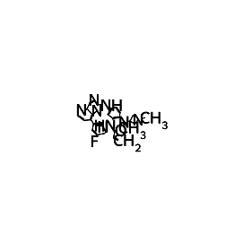 C=CC(=O)Nc1cc(Nc2ncc3nccc(-c4cncc(F)c4)c3n2)ccc1N(C)C1CN(C)C1